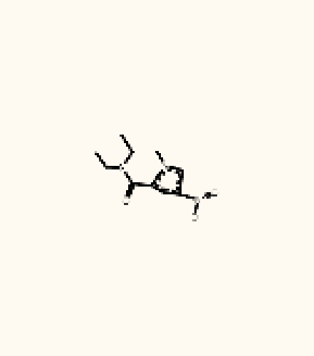 CCN(CC)C(=O)c1cc([N+](=O)[O-])cn1C